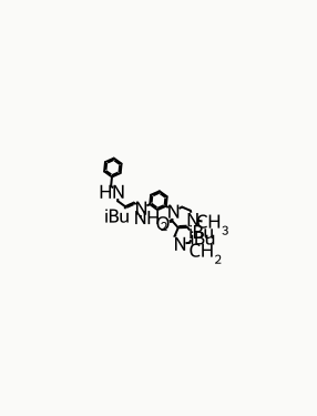 C=C(/N=C\C1=C(C(C)CC)N(C)CCN(c2cccc(N(N)/C=C(/CNCc3ccccc3)C(C)CC)c2)C1=O)C(C)CC